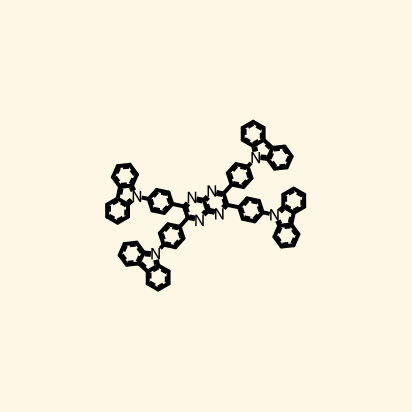 c1ccc2c(c1)c1ccccc1n2-c1ccc(-c2nc3nc(-c4ccc(-n5c6ccccc6c6ccccc65)cc4)c(-c4ccc(-n5c6ccccc6c6ccccc65)cc4)nc3nc2-c2ccc(-n3c4ccccc4c4ccccc43)cc2)cc1